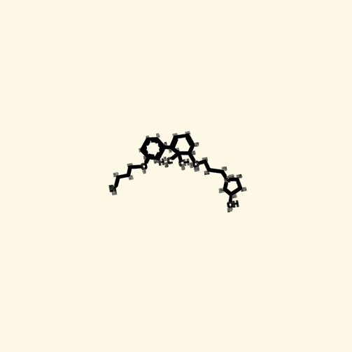 CC1(C)C(c2cccc(OCCCBr)c2)=CC=CC1OCCCN1CC[C@@H](O)C1